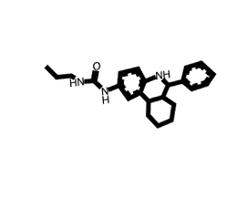 CCCNC(=O)Nc1ccc2c(c1)C1CCCCC1C(c1ccccc1)N2